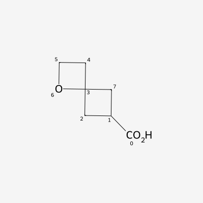 O=C(O)C1CC2(CCO2)C1